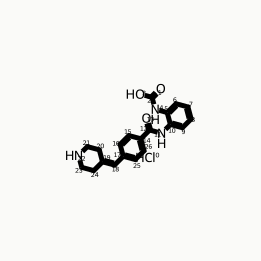 Cl.O=C(O)Nc1ccccc1NC(=O)c1ccc(C=C2CCNCC2)cc1